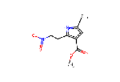 COC(=O)c1cc(C)[nH]c1CC[N+](=O)[O-]